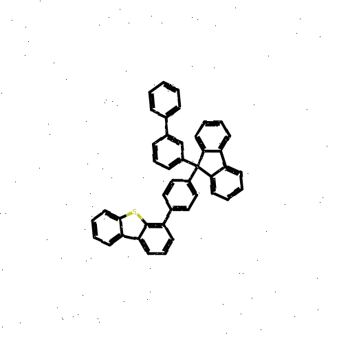 c1ccc(-c2cccc(C3(c4ccc(-c5cccc6c5sc5ccccc56)cc4)c4ccccc4-c4ccccc43)c2)cc1